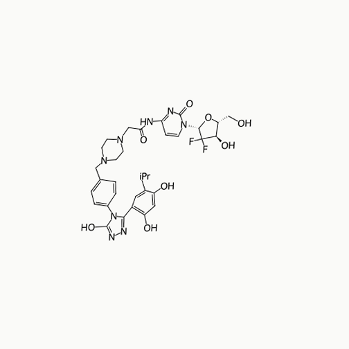 CC(C)c1cc(-c2nnc(O)n2-c2ccc(CN3CCN(CC(=O)Nc4ccn([C@@H]5O[C@H](CO)[C@@H](O)C5(F)F)c(=O)n4)CC3)cc2)c(O)cc1O